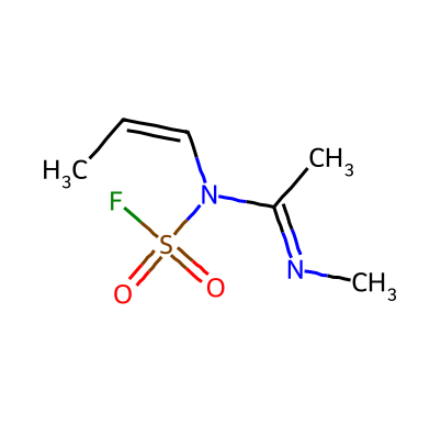 C/C=C\N(/C(C)=N/C)S(=O)(=O)F